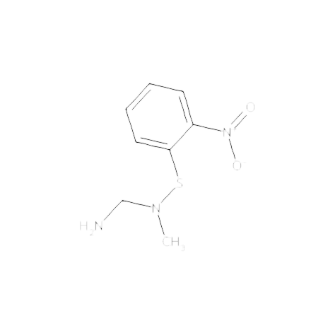 CN(CN)Sc1ccccc1[N+](=O)[O-]